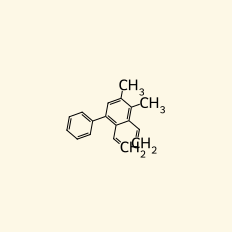 C=Cc1c(-c2ccccc2)cc(C)c(C)c1C=C